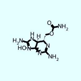 NC(=O)OC[C@@H]1N=C(N)N2CC[C@@H](O)C23N=C(N)N[C@@H]13